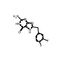 Nc1nc2nc(Cc3ccc(F)c(F)c3)[nH]c2c(=O)[nH]1